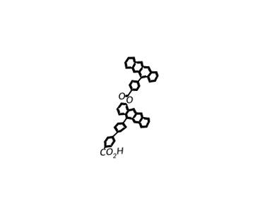 O=C(O)c1ccc(-c2ccc(-c3c4cc5ccccc5cc4cc4c(OC(=O)c5ccc(-c6c7ccccc7cc7cc8ccccc8cc67)cc5)cccc34)cc2)cc1